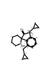 CCCN1CCCCC1(C(N)=O)c1c(CC2CC2)cccc1CC1CC1